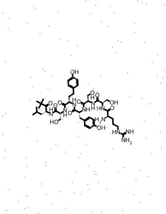 CC(C)C[C@@H](NC(=O)[C@@H](CO)NC(=O)[C@@H](CCc1ccc(O)cc1)NC(=O)[C@@H](Cc1ccc(O)cc1)NC(=O)[C@@H](CO)NC(=O)[C@@H](CO)NC(=O)[C@H](N)CCCNC(=N)N)C(=O)C(C)(C)C